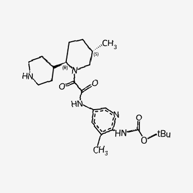 Cc1cc(NC(=O)C(=O)N2C[C@@H](C)CC[C@@H]2C2CCNCC2)cnc1NC(=O)OC(C)(C)C